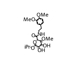 COc1ccc(CCNC(=O)C2O[C@@H](OC(C)C)[C@@H](O)[C@@H](O)[C@H]2OC)cc1OC